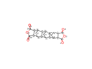 O=C1OC(=O)C2C3CC(C12)C1C2CC(C31)C1C3CC(C4C(=O)OC(=O)C34)C21